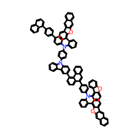 c1ccc(N(c2ccc(-c3ccc(-c4cccc5ccccc45)cc3)cc2)c2ccc(-n3c4ccccc4c4cc(-c5cccc6c(-c7ccc(N(c8ccccc8-c8cccc9c8oc8cc%10ccccc%10cc89)c8cccc9oc%10ccccc%10c89)cc7)cc7ccccc7c56)ccc43)cc2)c(-c2cccc3c2oc2cc4ccccc4cc23)c1